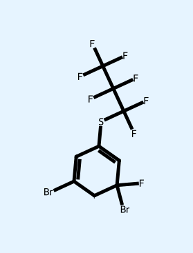 FC1(Br)[CH]C(Br)=CC(SC(F)(F)C(F)(F)C(F)(F)F)=C1